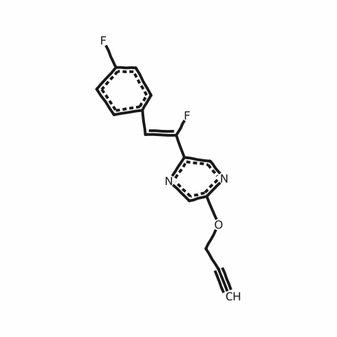 C#CCOc1cnc(/C(F)=C/c2ccc(F)cc2)cn1